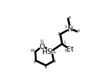 CCC(CN(C)C)[SiH]1CCCCO1